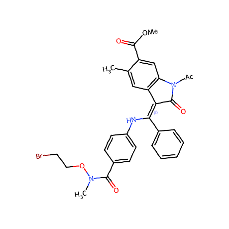 COC(=O)c1cc2c(cc1C)/C(=C(\Nc1ccc(C(=O)N(C)OCCBr)cc1)c1ccccc1)C(=O)N2C(C)=O